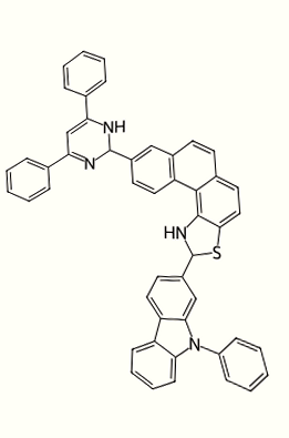 C1=C(c2ccccc2)NC(c2ccc3c(ccc4ccc5c(c43)NC(c3ccc4c6ccccc6n(-c6ccccc6)c4c3)S5)c2)N=C1c1ccccc1